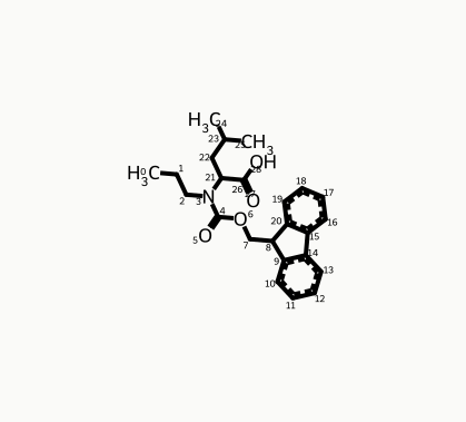 CCCN(C(=O)OCC1c2ccccc2-c2ccccc21)C(CC(C)C)C(=O)O